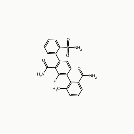 Cc1cccc(C(N)=O)c1-c1ccc(-c2ccccc2S(N)(=O)=O)c(C(N)=O)c1F